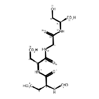 O=CN[C@@H](CC(=O)O)C(=O)N[C@@H](CC(=O)O)C(=O)NCC(=O)N[C@@H](CO)C(=O)O